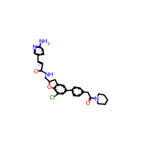 Nc1ccc(/C=C/C(=O)NCC2Cc3cc(-c4ccc(CC(=O)N5CCCCC5)cc4)cc(Cl)c3O2)cn1